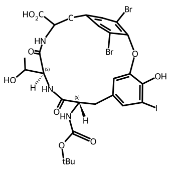 CC(O)[C@@H]1NC(=O)[C@@H](NC(=O)OC(C)(C)C)Cc2cc(I)c(O)c(c2)Oc2c(Br)cc(cc2Br)CC(C(=O)O)NC1=O